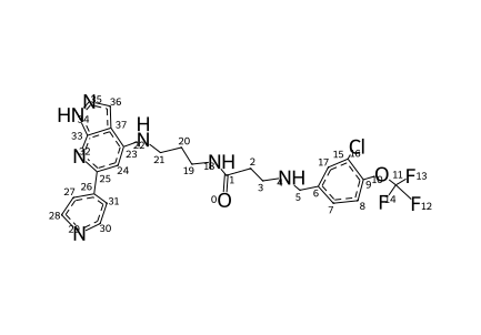 O=C(CCNCc1ccc(OC(F)(F)F)c(Cl)c1)NCCCNc1cc(-c2ccncc2)nc2[nH]ncc12